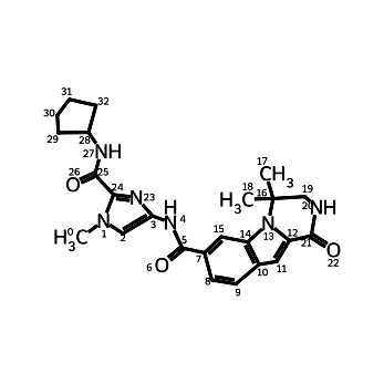 Cn1cc(NC(=O)c2ccc3cc4n(c3c2)C(C)(C)CNC4=O)nc1C(=O)NC1CCCC1